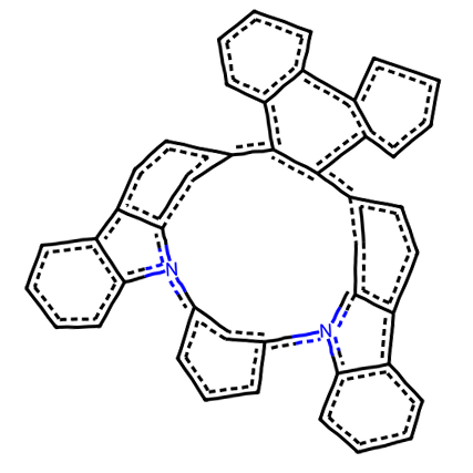 c1ccc2c(c1)c1ccccc1c1c3ccc4c5ccccc5n(c5cccc(c5)n5c6ccccc6c6ccc(cc65)c21)c4c3